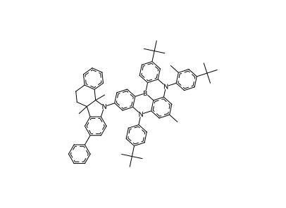 Cc1cc2c3c(c1)N(c1ccc(C(C)(C)C)cc1C)c1cc(C(C)(C)C)ccc1B3c1ccc(N3c4ccc(-c5ccccc5)cc4C4(C)CCc5ccccc5C34C)cc1N2c1ccc(C(C)(C)C)cc1